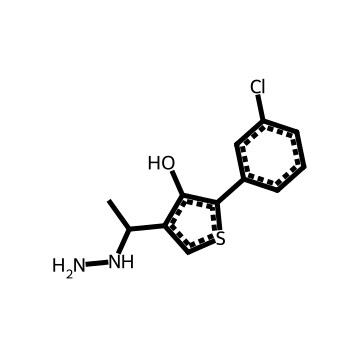 CC(NN)c1csc(-c2cccc(Cl)c2)c1O